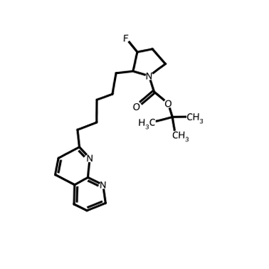 CC(C)(C)OC(=O)N1CCC(F)C1CCCCCc1ccc2cccnc2n1